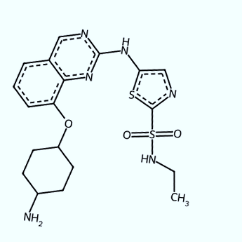 CCNS(=O)(=O)c1ncc(Nc2ncc3cccc(OC4CCC(N)CC4)c3n2)s1